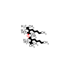 CCCCCC(C(C)(C)C)C(C)(C)OC(C)(C)C(CCCCC)C(C)(C)C